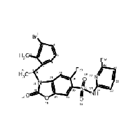 Cc1c(Br)cccc1[C@@H](C)n1c(=O)oc2cc(S(=O)(=O)Nc3cccc(F)n3)c(F)cc21